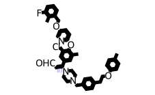 Cc1ccc(OCCc2ccc(CN3CCN(/C(=C/C=O)c4cc(C)c(Oc5ccc(OCc6cccc(F)c6C)cn5)c(Cl)c4)CC3)cc2)cc1